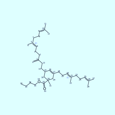 C=C(CC/C=C(\C)CCC=C(C)C)CCC1C=C(CC/C=C(\C)CCC=C(C)C)CC(C)(C(=O)OCCCC)C1